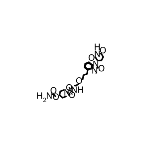 Cn1c(=O)n(C2CCC(=O)NC2=O)c2cccc(CCCOCCNS(=O)(=O)N3CCC(OC(N)=O)CC3)c21